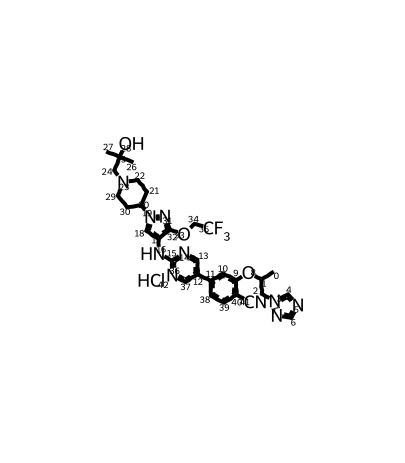 CC(Cn1cncn1)Oc1cc(-c2cnc(Nc3cn(C4CCN(CC(C)(C)O)CC4)nc3OCC(F)(F)F)nc2)ccc1C#N.Cl